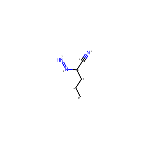 CCCC(C#N)N=N